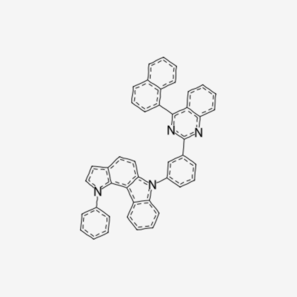 c1ccc(-n2ccc3ccc4c(c5ccccc5n4-c4cccc(-c5nc(-c6cccc7ccccc67)c6ccccc6n5)c4)c32)cc1